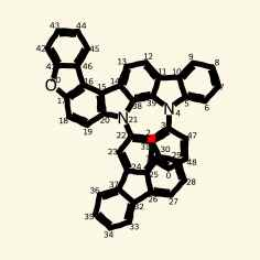 c1ccc(-n2c3ccccc3c3ccc4c5c6c(ccc5n(-c5cc7c8c(cccc8c5)-c5ccccc5-7)c4c32)oc2ccccc26)cc1